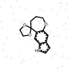 c1cc2cc3c(cc2[nH]1)C1(CCCO3)OCCO1